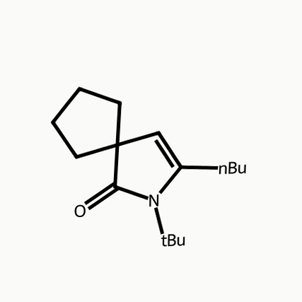 CCCCC1=CC2(CCCC2)C(=O)N1C(C)(C)C